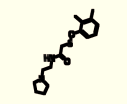 Cc1cccc(OSCC(=O)NCCN2CCCC2)c1C